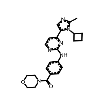 Cc1ncc(-c2ccnc(Nc3ccc(C(=O)N4CCOCC4)cc3)n2)n1C1CCC1